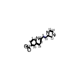 O=[N+]([O-])c1ccc2nc(/C=C/c3cnccn3)ccc2c1